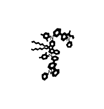 C=Cc1c(C)c2cc(-c3cccc(N(c4ccc5c(c4)C(CCCCCCCC)(CCCCCCCC)c4cc(N(c6cccc(-c7ccc8c(c7)c7ccccc7n8-c7ccccc7)c6)c6ccc(C)cc6C)c6ccccc6c4-5)c4ccc(C)cc4C)c3)ccc2n1-c1ccccc1